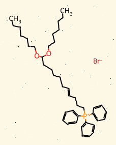 CCCCCCCOC(CCCCCC=CCCC[P+](c1ccccc1)(c1ccccc1)c1ccccc1)OCCCCCCC.[Br-]